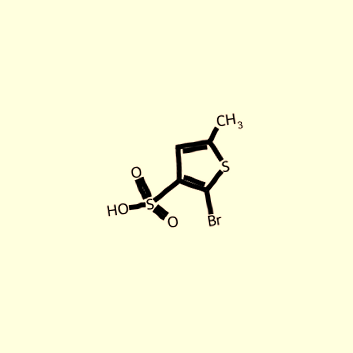 Cc1cc(S(=O)(=O)O)c(Br)s1